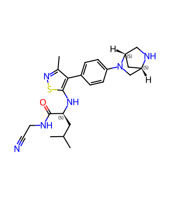 Cc1nsc(N[C@@H](CC(C)C)C(=O)NCC#N)c1-c1ccc(N2C[C@@H]3C[C@H]2CN3)cc1